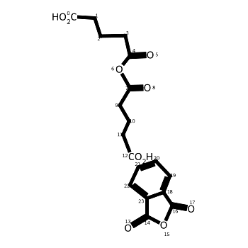 O=C(O)CCCC(=O)OC(=O)CCCC(=O)O.O=C1OC(=O)c2ccccc21